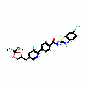 CC1(C)OCC(Cc2cnc(-c3ccc(C(=O)Nc4nc5ccc(F)cc5s4)cc3)c(F)c2)O1